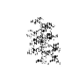 N=C(N)NCCC[C@H](NC(=O)[C@H](CCCNC(=N)N)NC(=O)[C@H](CCCNC(=N)N)NC(=O)[C@H](CCC(N)=O)NC(=O)[C@H](CCCNC(=N)N)NC(=O)[C@H](CCCNC(=N)N)NC(=O)[C@H](CCCNC(=N)N)NC(=O)[C@H](CCCNC(=N)N)NC(=O)[C@H](CCCNC(=N)N)NC(=O)CN)C(N)=O